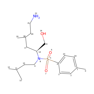 Cc1ccc(S(=O)(=O)N(CCC(C)C)[C@H](CO)CC(C)CCN)cc1